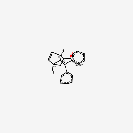 COC(=O)[C@H]1C[C@@H]2C=C[C@H]1C2=C(c1ccccc1)c1ccccc1